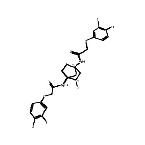 O=C(COc1ccc(Cl)c(F)c1)NC12CC[C@](NC(=O)COc3ccc(Cl)c(F)c3)(C[C@H]1O)C2